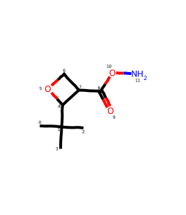 CC(C)(C)C1OCC1C(=O)ON